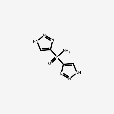 NP(=O)(c1c[nH]nn1)c1c[nH]nn1